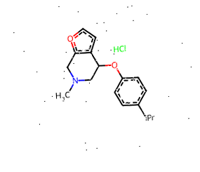 CC(C)c1ccc(OC2CN(C)Cc3occc32)cc1.Cl